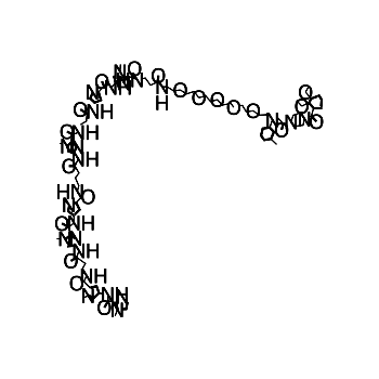 COc1cccc(C(=O)N2CCN(C(=O)CN(CCOCCOCCOCCOCCOCCNC(=O)CCNC(=O)c3nc(NC(=O)c4cc(NC(=O)CCNC(=O)c5nc(NC(=O)CCCNC(=O)c6cc(NC(=O)c7nc(NC(=O)CCNC(=O)c8cc(NC(=O)c9nccn9C)cn8C)cn7C)cn6C)cn5C)cn4C)cn3C)c3cccc(C)c3)CC2)c1OC